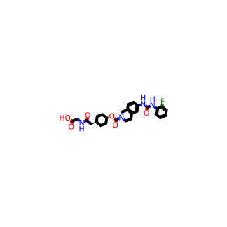 O=C(O)CNC(=O)C[C@H]1CC[C@H](OC(=O)N2CCc3cc(NC(=O)Nc4ccccc4F)ccc3C2)CC1